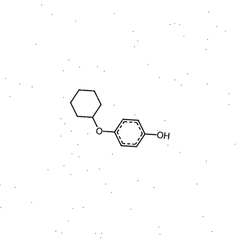 Oc1ccc(OC2CCCCC2)cc1